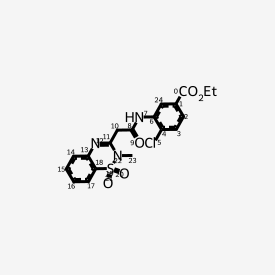 CCOC(=O)c1ccc(Cl)c(NC(=O)CC2=Nc3ccccc3S(=O)(=O)N2C)c1